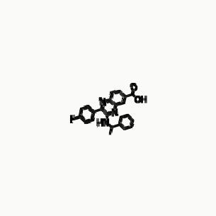 CC(Nc1nc2cc(C(=O)O)ccc2nc1-c1ccc(F)cc1)c1ccccc1